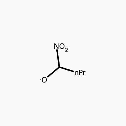 CCCC([O])[N+](=O)[O-]